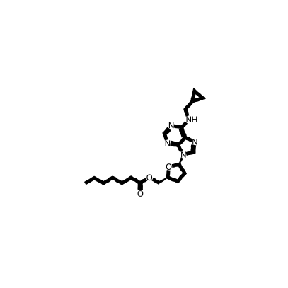 CCCCCCC(=O)OC[C@@H]1CC[C@H](n2cnc3c(NCC4CC4)ncnc32)O1